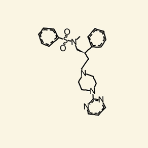 CN(C[C@H](CCN1CCN(c2ncccn2)CC1)c1ccccc1)S(=O)(=O)c1ccccc1